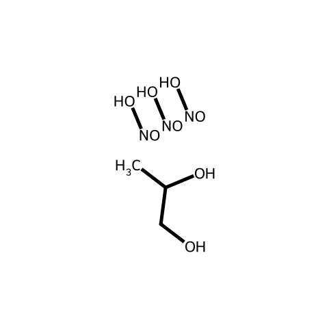 CC(O)CO.O=NO.O=NO.O=NO